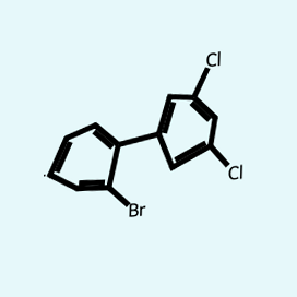 Clc1cc(Cl)cc(-c2cc[c]cc2Br)c1